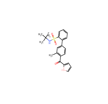 Cc1cc(-c2ccccc2S(=O)(=O)NC(C)(C)C)ccc1C(=O)C1=CC=CB1